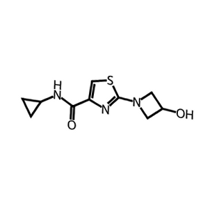 O=C(NC1CC1)c1csc(N2CC(O)C2)n1